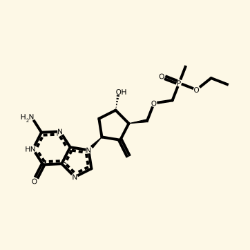 C=C1[C@H](COCP(C)(=O)OCC)[C@@H](O)C[C@@H]1n1cnc2c(=O)[nH]c(N)nc21